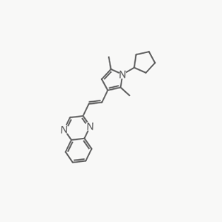 Cc1cc(C=Cc2cnc3ccccc3n2)c(C)n1C1CCCC1